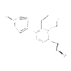 CC(C)(C)c1ccc(-c2ccc(CCN)c(CO)c2CO)cc1